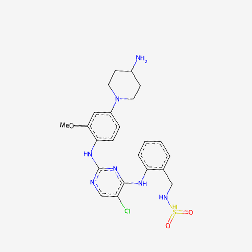 COc1cc(N2CCC(N)CC2)ccc1Nc1ncc(Cl)c(Nc2ccccc2CN[SH](=O)=O)n1